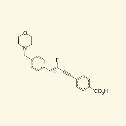 O=C(O)c1ccc(C#C/C(F)=C/c2ccc(CN3CCOCC3)cc2)cc1